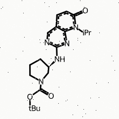 CC(C)n1c(=O)ccc2cnc(N[C@@H]3CCCN(C(=O)OC(C)(C)C)C3)nc21